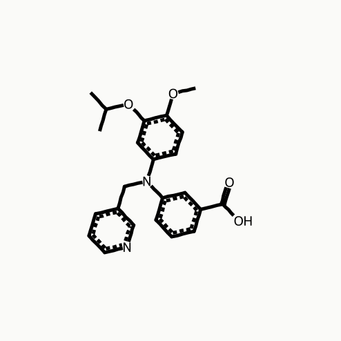 COc1ccc(N(Cc2cccnc2)c2cccc(C(=O)O)c2)cc1OC(C)C